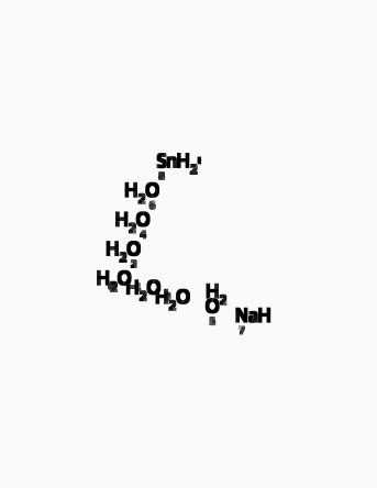 O.O.O.O.O.O.O.[NaH].[SnH2]